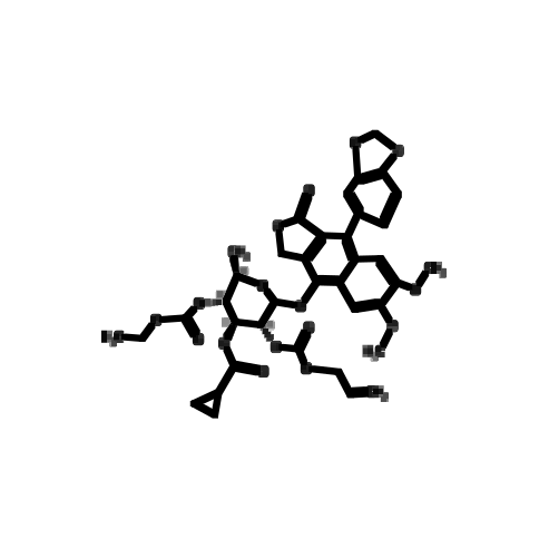 C=CCOC(=O)O[C@H]1C(Oc2c3c(c(-c4ccc5c(c4)OCO5)c4cc(OC)c(OC)cc24)C(=O)OC3)O[C@H](C)[C@@H](OC(=O)OCC)[C@@H]1OC(=O)C1CC1